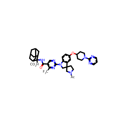 CC(=O)N1CCC2(C1)CN(c1ncc(C(=O)NC3(C(=O)O)C4CC5CC(C4)CC3C5)c(C(F)(F)F)n1)c1ccc(OC3CCN(c4ncccn4)CC3)cc12